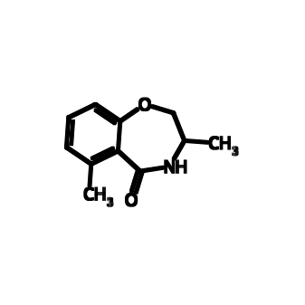 Cc1cccc2c1C(=O)NC(C)CO2